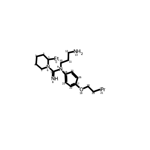 CCC1CCCCN1C(=N)N(CCCN)c1ccc(OCCC(C)C)cc1